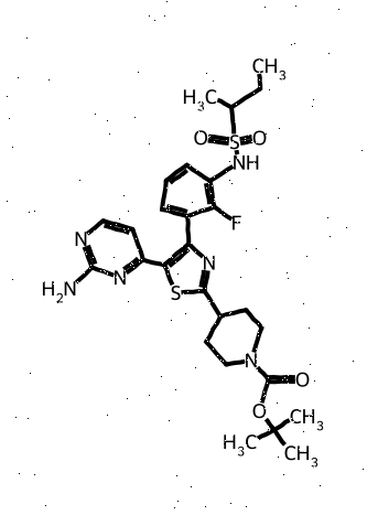 CCC(C)S(=O)(=O)Nc1cccc(-c2nc(C3CCN(C(=O)OC(C)(C)C)CC3)sc2-c2ccnc(N)n2)c1F